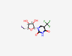 O=c1[nH]c(=O)n([C@@H]2O[C@H](CI)[C@@H](O)[C@H]2O)cc1C(F)(F)F